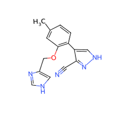 Cc1ccc(-c2c[nH]nc2C#N)c(OCc2c[nH]cn2)c1